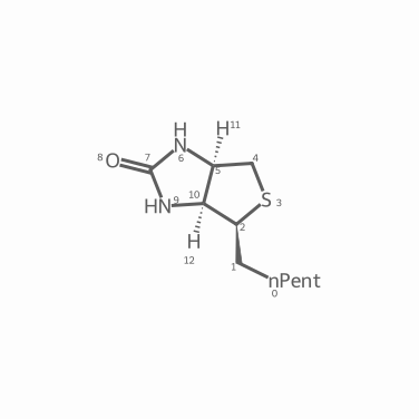 CCCCCC[C@@H]1SC[C@@H]2NC(=O)N[C@@H]21